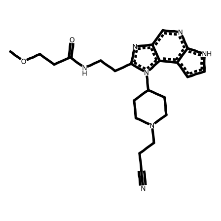 COCCC(=O)NCCc1nc2cnc3[nH]ccc3c2n1C1CCN(CCC#N)CC1